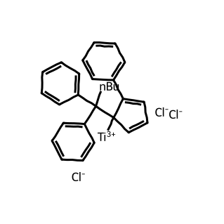 CCCCC(c1ccccc1)(c1ccccc1)[C]1([Ti+3])C=CC=C1c1ccccc1.[Cl-].[Cl-].[Cl-]